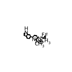 Cn1c(=O)n(CC2(C)CC2(F)F)c2ccc(-c3ccc4cc[nH]c4c3)nc21